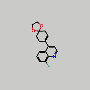 Fc1cccc2c(C3=CCC4(CC3)OCCO4)ccnc12